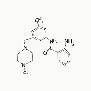 CCN1CCN(Cc2cc(NC(=O)c3ccccc3N)cc(C(F)(F)F)c2)CC1